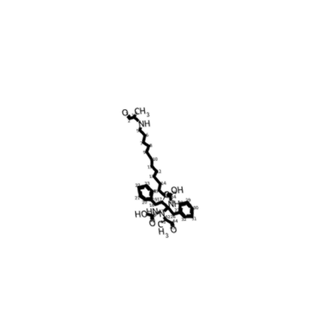 CC(C=O)NCCCCCCCCCCCC[C@@H](Cc1ccccc1)C(Cc1ccccc1)(NC(=O)O)N(NC(=O)O)[C@@H](C)C=O